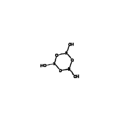 OB1OB(O)OB(O)O1